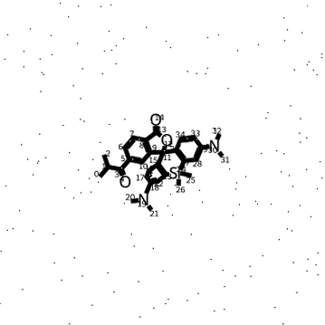 CC(C)C(=O)c1ccc2c(c1)C1(OC2=O)c2ccc(N(C)C)cc2[Si](C)(C)c2cc(N(C)C)ccc21